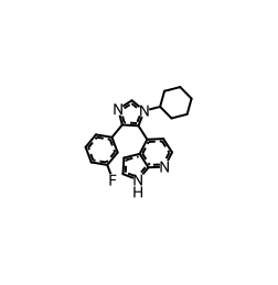 Fc1cccc(-c2ncn(C3CCCCC3)c2-c2ccnc3[nH]ccc23)c1